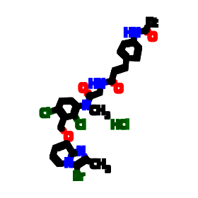 CCC(=O)Nc1ccc(C=CC(=O)NCC(=O)N(C)c2ccc(Cl)c(COc3cccn4c(Br)c(C)nc34)c2Cl)cc1.Cl